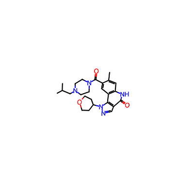 Cc1cc2[nH]c(=O)c3cnn(C4CCOCC4)c3c2cc1C(=O)N1CCN(CC(C)C)CC1